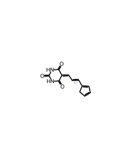 O=C1NC(=O)C(=C/C=C/C2=CC=CC2)C(=O)N1